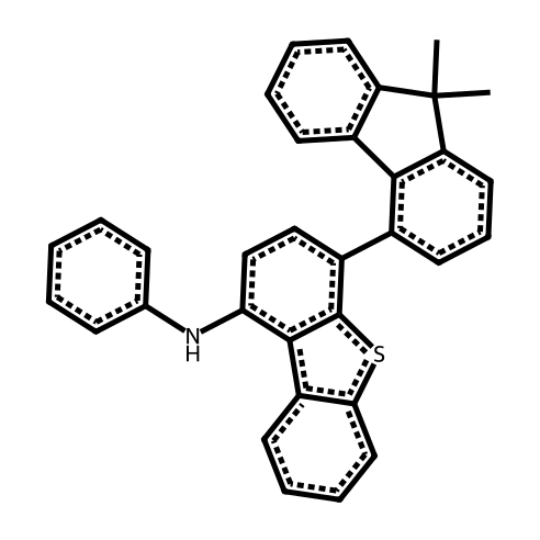 CC1(C)c2ccccc2-c2c(-c3ccc(Nc4ccccc4)c4c3sc3ccccc34)cccc21